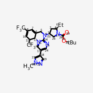 CC[C@@H]1C[C@H](N(CC2=CC(C(F)(F)F)=CC(C(F)(F)F)C2)c2ncc(-c3cnn(C)c3)cn2)CN1C(=O)OC(C)(C)C